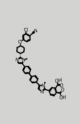 Cn1c(-c2ccc(-c3ccc(-c4cnc([C@H]5CC[C@H](Oc6ccc(C#N)c(Cl)c6)CC5)n4C)cc3)cc2)cnc1-c1ccc(C(=O)O)c(C(=O)O)c1